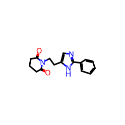 O=C1CCCC(=O)N1CCc1cnc(-c2ccccc2)[nH]1